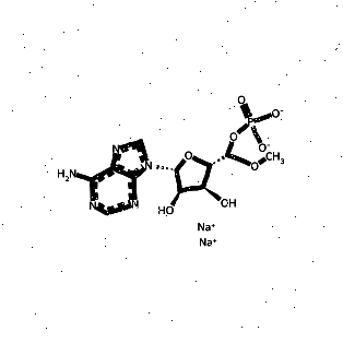 COC(OP(=O)([O-])[O-])[C@H]1O[C@@H](n2cnc3c(N)ncnc32)[C@H](O)[C@@H]1O.[Na+].[Na+]